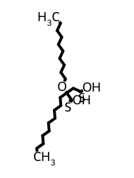 CCCCCCCCCCOC(CCCCCCCCCC)(CC(O)=S)C(O)=S